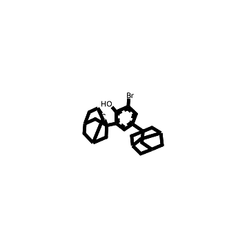 Oc1c(Br)cc(C23CC4CC(CC(C4)C2)C3)cc1C12CC3CC(CC(C3)C1)C2